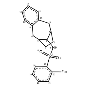 O=S(=O)(NC1C2CCC1Cc1ccccc1C2)c1ccccc1F